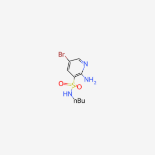 CCCCNS(=O)(=O)c1cc(Br)cnc1N